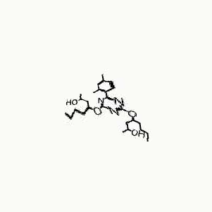 CCCCC(CC(C)O)Oc1nc(OC(CCCC)CC(C)O)nc(-c2ccc(C)cc2C)n1